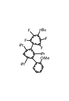 CCCCc1c(F)c(F)c(-c2c(C(C)C)cc(C(C)C)c(-c3ccccc3OC)c2C(C)C)c(F)c1F